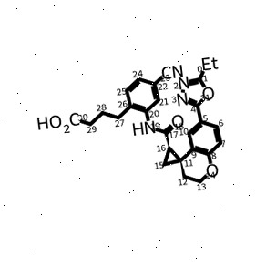 CCc1nnc(-c2ccc3c(c2)[C@]2(CCO3)C[C@H]2C(=O)Nc2cc(C#N)ccc2CCCC(=O)O)o1